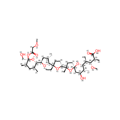 CC[C@@]1([C@@H]2O[C@@H]([C@H]3O[C@](CO)(OC(=O)COC)[C@H](C)C[C@@H]3C)C[C@@H]2C)CC[C@H]([C@]2(C)CC[C@]3(C[C@H](O)[C@@H](C)[C@@H]([C@@H](C)[C@@H](OC)[C@H](C)C(=O)O)O3)O2)O1